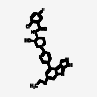 CCOc1cc(-c2ccc(N3CC[C@H](NC(=O)c4cc(F)ccc4Cl)[C@H](O)C3)nc2)c2c3cn[nH]c3nn2c1